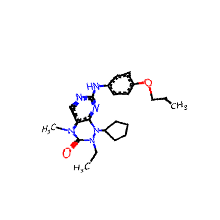 CCCOc1ccc(Nc2ncc3c(n2)N(C2CCCC2)N(CC)C(=O)N3C)cc1